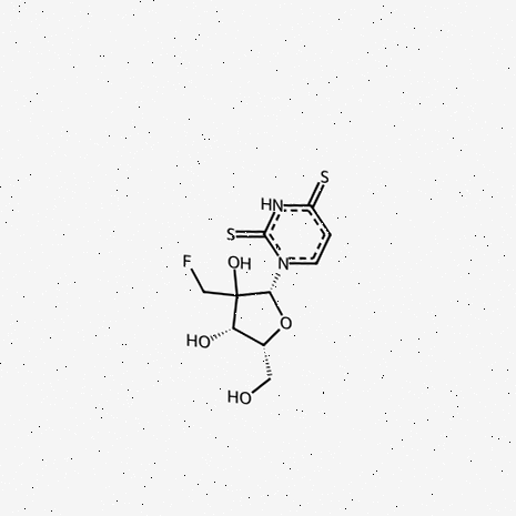 OC[C@H]1O[C@@H](n2ccc(=S)[nH]c2=S)C(O)(CF)[C@H]1O